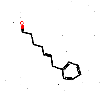 O=[C]CCC/C=C/Cc1ccccc1